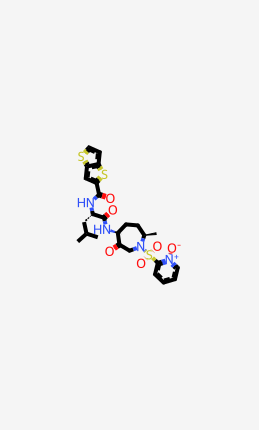 CC(C)C[C@H](NC(=O)c1cc2sccc2s1)C(=O)N[C@H]1CC[C@@H](C)N(S(=O)(=O)c2cccc[n+]2[O-])CC1=O